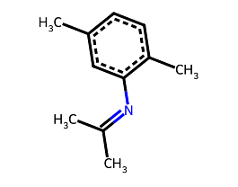 CC(C)=Nc1cc(C)ccc1C